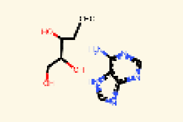 Nc1ncnc2nc[nH]c12.O=CCC(O)C(O)CO